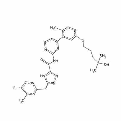 Cc1ccc(OCCCC(C)(C)O)cc1-c1ccnc(NC(=O)c2nnc(Cc3ccc(F)c(C(F)(F)F)c3)[nH]2)c1